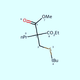 CCCC(CSC(C)(C)C)(C(=O)OC)C(=O)OCC